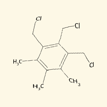 Cc1c(C)c(CCl)c(CCl)c(CCl)c1C